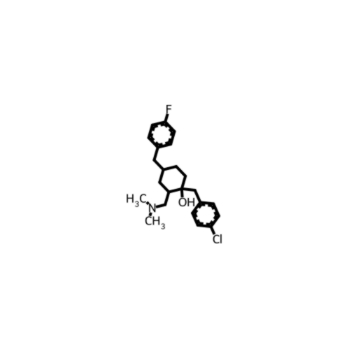 CN(C)CC1CC(Cc2ccc(F)cc2)CCC1(O)Cc1ccc(Cl)cc1